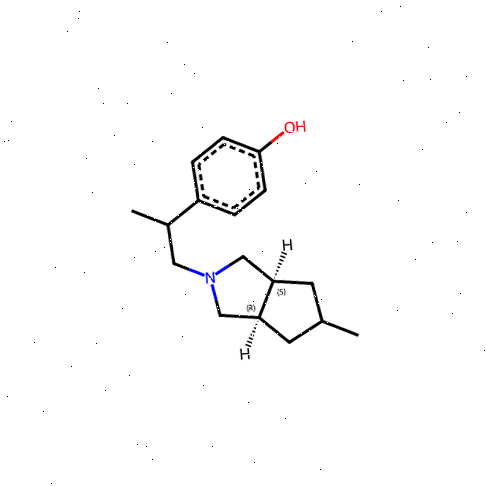 CC1C[C@@H]2CN(CC(C)c3ccc(O)cc3)C[C@@H]2C1